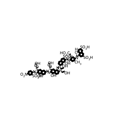 Cc1cc(N=Nc2c(S(=O)(=O)O)cc3ccc(N=Nc4c(N(CCO)CCO)ccc5c(O)c(N=Nc6ccc7c(O)c(N=Nc8ccc([N+](=O)[O-])cc8S(=O)(=O)O)c(SOOO)cc7c6)c(SOOO)cc45)cc3c2O)c(OCC(=O)O)cc1N=Nc1cc(S(=O)(=O)O)cc2cc(S(=O)(=O)O)cc(O)c12